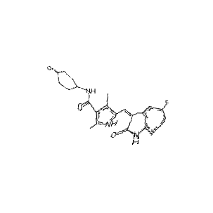 Cc1[nH]c(/C=C2\C(=O)Nc3ccc(F)cc32)c(C)c1C(=O)NC1CCC(=O)CC1